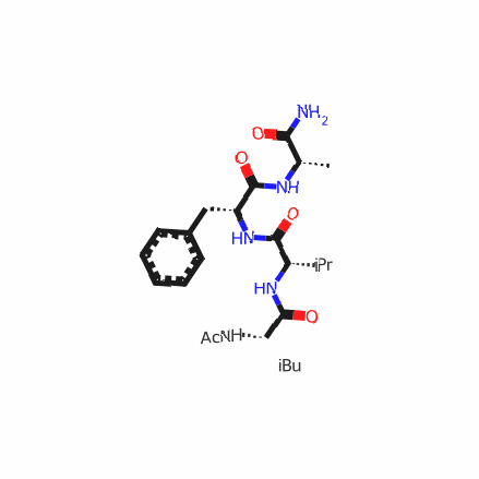 CC[C@H](C)[C@H](NC(C)=O)C(=O)N[C@H](C(=O)N[C@H](Cc1ccccc1)C(=O)N[C@@H](C)C(N)=O)C(C)C